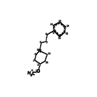 COC1CCN(CCCc2ccccc2)CC1